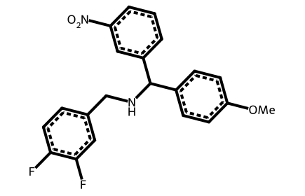 COc1ccc(C(NCc2ccc(F)c(F)c2)c2cccc([N+](=O)[O-])c2)cc1